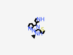 c1csc(C2N=C(c3cc[nH]c3)c3cccnc3N=C2NC2CC2)c1